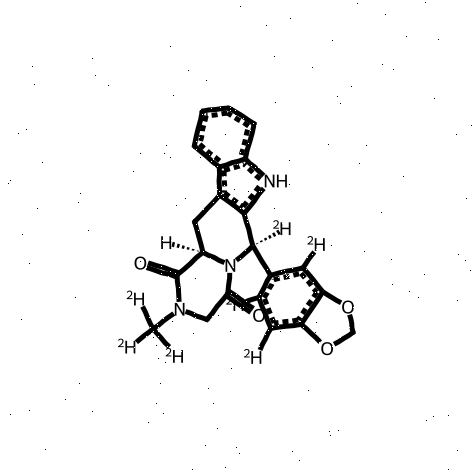 [2H]c1c([2H])c([C@]2([2H])c3[nH]c4ccccc4c3C[C@@H]3C(=O)N(C([2H])([2H])[2H])CC(=O)N32)c([2H])c2c1OCO2